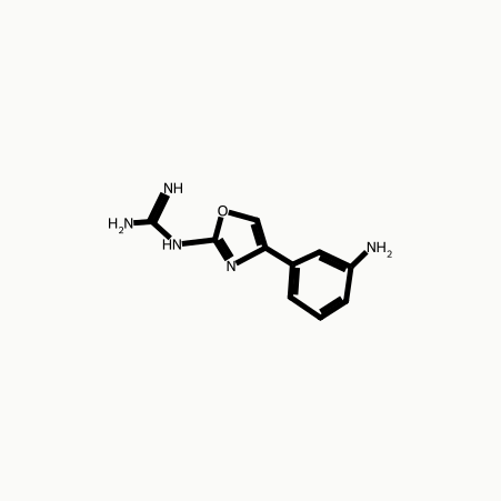 N=C(N)Nc1nc(-c2cccc(N)c2)co1